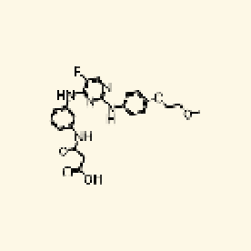 COCCOc1ccc(Nc2ncc(F)c(Nc3cccc(NC(=O)CC(=O)O)c3)n2)cc1